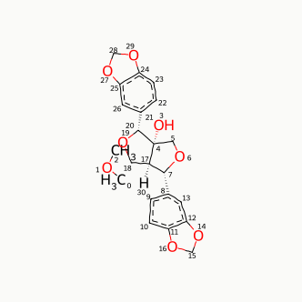 COC.O[C@]12CO[C@H](c3ccc4c(c3)OCO4)[C@H]1CO[C@@H]2c1ccc2c(c1)OCO2